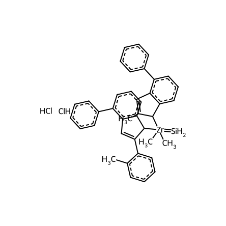 CC1=Cc2c(-c3ccccc3)cccc2[CH]1[Zr]([CH3])([CH3])(=[SiH2])[CH]1C(c2ccccc2C)=Cc2c(-c3ccccc3)cccc21.Cl.Cl